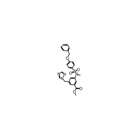 COC(=O)c1cc(Cn2cncn2)cc(N(C)S(=O)(=O)c2ccc(OCc3ccccc3)cc2)c1